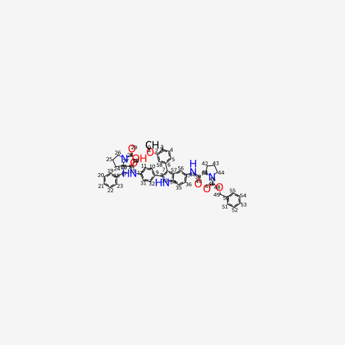 COc1cccc(-c2c(-c3ccc(NC(=O)[C@@]4(Cc5ccccc5)CCCN4C(=O)O)cc3)[nH]c3ccc(NC(=O)[C@@H]4CCCN4C(=O)OCc4ccccc4)cc23)c1